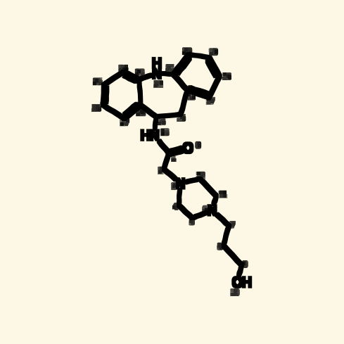 O=C(CN1CCN(CCCO)CC1)NC1Cc2ccccc2Nc2ccccc21